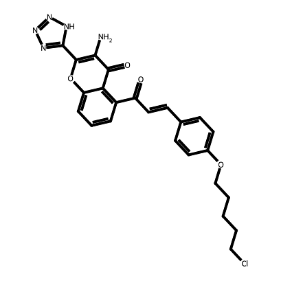 Nc1c(-c2nnn[nH]2)oc2cccc(C(=O)C=Cc3ccc(OCCCCCCl)cc3)c2c1=O